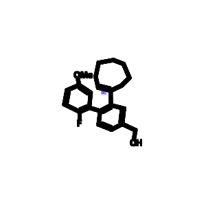 COc1ccc(F)c(-c2ccc(CO)cc2/C2=C/CCCCCC2)c1